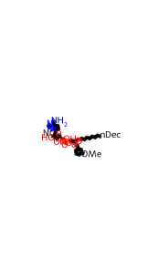 CCCCCCCCCCCCCCCCCCOC[C@H](COP(=O)(O)OC[C@H]1O[C@@](C#N)(c2ccc3c(N)ncnn23)[C@H](O)[C@@H]1O)OCc1cccc(OC)c1